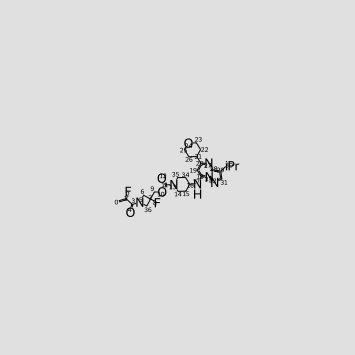 C=C(F)C(=O)N1CC(F)(COC(=O)N2CCC(Nc3cc(C4CCOCC4)nc4c(C(C)C)cnn34)CC2)C1